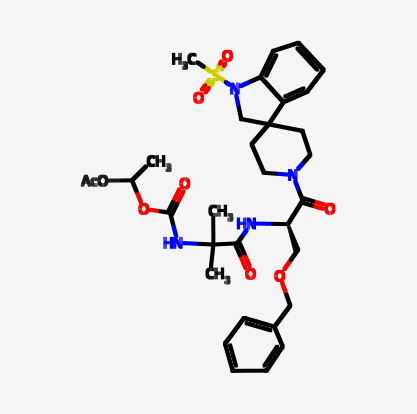 CC(=O)OC(C)OC(=O)NC(C)(C)C(=O)N[C@H](COCc1ccccc1)C(=O)N1CCC2(CC1)CN(S(C)(=O)=O)c1ccccc12